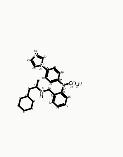 CC(CC1CCCCC1)NCc1ccccc1N(C(=O)O)c1ccc(-n2ccnc2)cc1